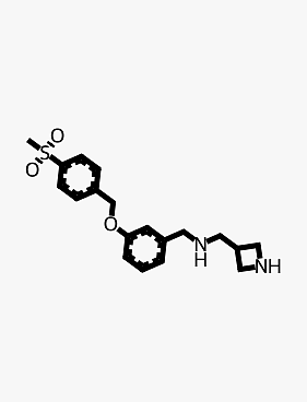 CS(=O)(=O)c1ccc(COc2cccc(CNCC3CNC3)c2)cc1